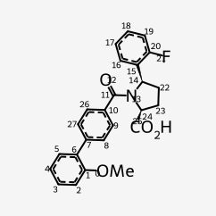 COc1ccccc1-c1ccc(C(=O)N2[C@@H](c3ccccc3F)CC[C@H]2C(=O)O)cc1